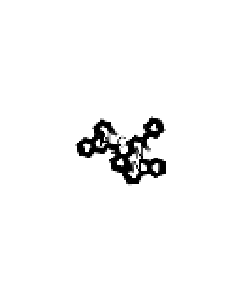 Cc1cc(-c2ccccc2)c[n+](C2c3ccccc3-c3cccc[n+]32)c1-c1ccccc1/C=C1\Cc2ccccc2-c2cccc[n+]21